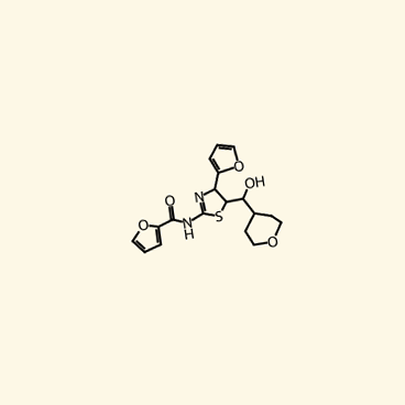 O=C(NC1=NC(c2ccco2)C(C(O)C2CCOCC2)S1)c1ccco1